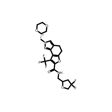 O=C(NCC1CC(F)(F)CO1)c1oc2c(c1C(F)(F)F)-c1nn(C[C@H]3COCCO3)cc1CC2